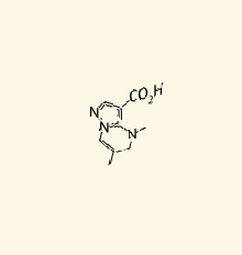 CC1=Cn2ncc(C(=O)O)c2N(C)C1